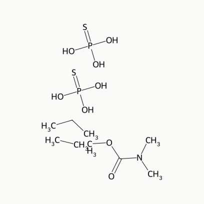 CC.CCC.COC(=O)N(C)C.OP(O)(O)=S.OP(O)(O)=S